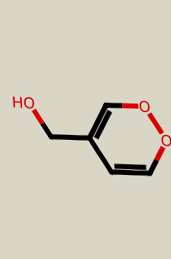 OCC1=COOC=C1